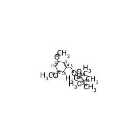 COc1cc(COO[Si](C)(C)C(C)(C)C)cc(OC)c1